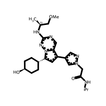 COC[C@H](C)Nc1ncc2c(-c3cnn(CC(=O)NC(C)C)c3)cc([C@H]3CC[C@H](O)CC3)n2n1